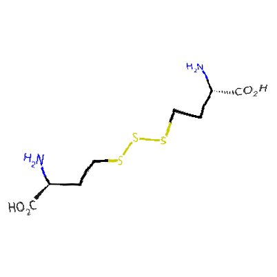 N[C@@H](CCSSSCC[C@H](N)C(=O)O)C(=O)O